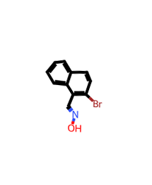 ON=Cc1c(Br)ccc2ccccc12